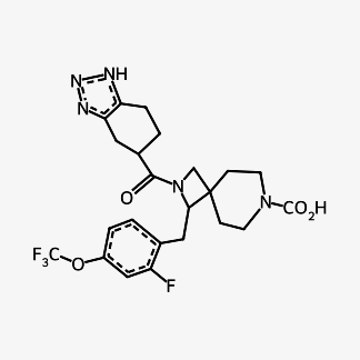 O=C(O)N1CCC2(CC1)CN(C(=O)C1CCc3[nH]nnc3C1)C2Cc1ccc(OC(F)(F)F)cc1F